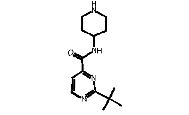 CC(C)(C)c1nccc(C(=O)NC2CCNCC2)n1